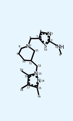 CNc1ncc(CN2CCCC(Cn3nc(C)c(C)c3C)C2)s1